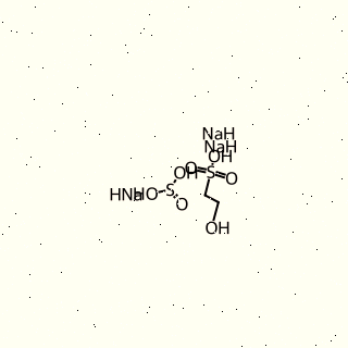 O=S(=O)(O)CCO.O=S(O)O.[NaH].[NaH].[NaH]